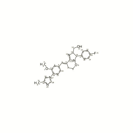 COc1cc(/C=C2\CCON3C2=NC(CO)C3c2ccc(F)cc2)ccc1-n1cnc(C)c1